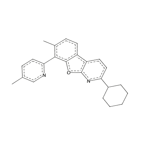 Cc1ccc(-c2c(C)ccc3c2oc2nc(C4CCCCC4)ccc23)nc1